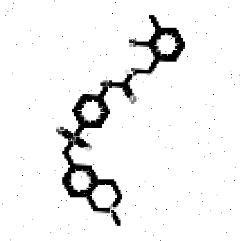 Cc1cccc(CNC(=O)Nc2ccc(S(=O)(=O)Cc3ccc4c(c3)CCN(C)C4)cc2)c1Cl